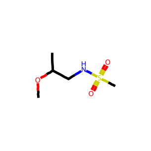 COC(C)CNS(C)(=O)=O